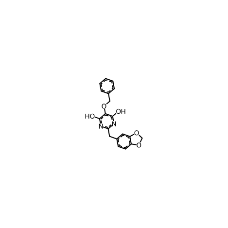 Oc1nc(Cc2ccc3c(c2)OCO3)nc(O)c1OCc1ccccc1